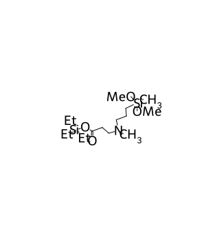 CC[Si](CC)(CC)OC(=O)CCN(C)CCC[Si](C)(OC)OC